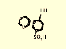 Cc1ccc(S(=O)(=O)O)cc1.[LiH].c1ccncc1